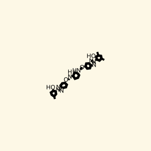 Cc1ccc(O)c(-n2nc3ccc(OCNc4cccc(NCOc5ccc6nn(-c7cc(C)cc(C)c7O)nc6c5)c4)cc3n2)c1